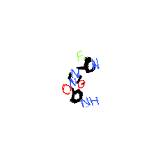 CNc1ccc(C(=O)N2CCN(Cc3ccncc3F)CC2)c(OC)c1